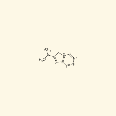 CC(C)C1=Cc2cnncc2C1